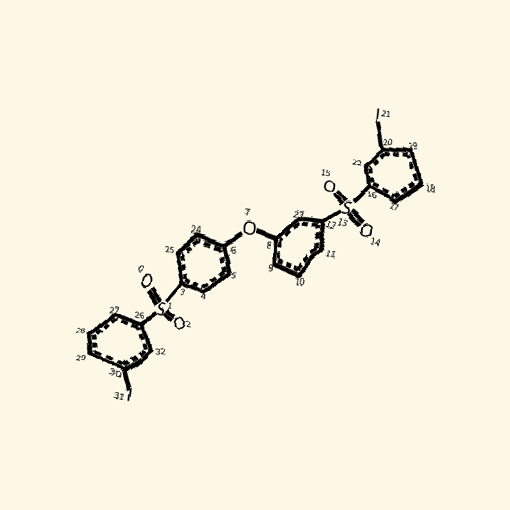 O=S(=O)(c1ccc(Oc2cccc(S(=O)(=O)c3cccc(I)c3)c2)cc1)c1cccc(I)c1